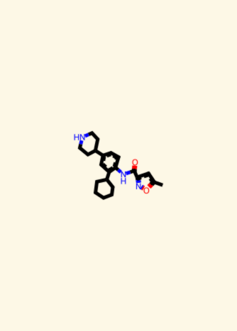 Cc1cc(C(=O)Nc2ccc(C3CCNCC3)cc2C2CCCCC2)no1